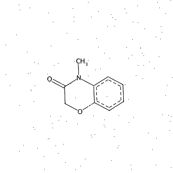 CN1C(=O)COc2cc[c]cc21